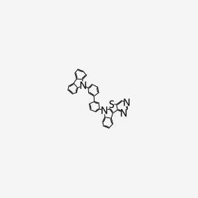 c1cc(-c2cccc(-n3c4ccccc4c4c5ncncc5sc43)c2)cc(-n2c3ccccc3c3ccccc32)c1